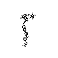 CCC1C(COc2ncc(C#CCN3CCC4(CC3)CCN(c3ncc(C(=O)NCC(=O)N5CCC(O)C5)cn3)CC4)c3cc(C(N)=O)c(OC)cc23)NC(=O)C1F